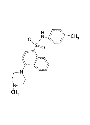 Cc1ccc(NS(=O)(=O)c2ccc(N3CCN(C)CC3)c3ccccc23)cc1